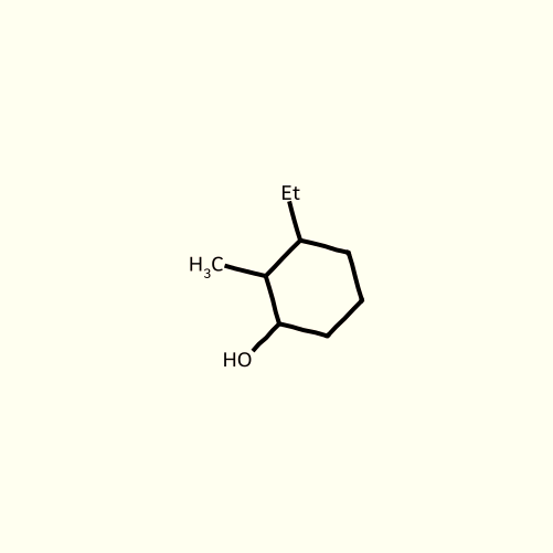 CCC1CCCC(O)C1C